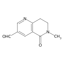 CN1CCc2ncc(C=O)cc2C1=O